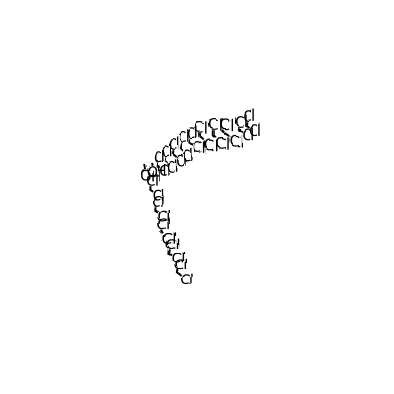 CO.CO.ClCCl.ClCCl.ClCCl.ClCCl.ClCCl.ClCCl.ClCCl.ClCCl.ClCCl.ClCCl.ClCCl.ClCCl.ClCCl.ClCCl.ClCCl